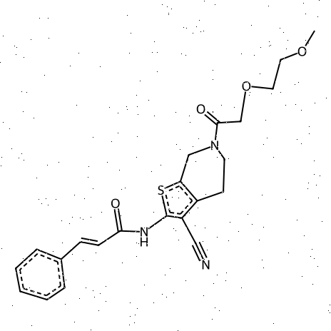 COCCOCC(=O)N1CCc2c(sc(NC(=O)C=Cc3ccccc3)c2C#N)C1